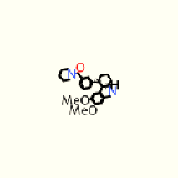 COc1cc2c(cc1OC)C1[C@H](CCC[C@@H]1c1cccc(C(=O)N3CCCCC3)c1)N=C2